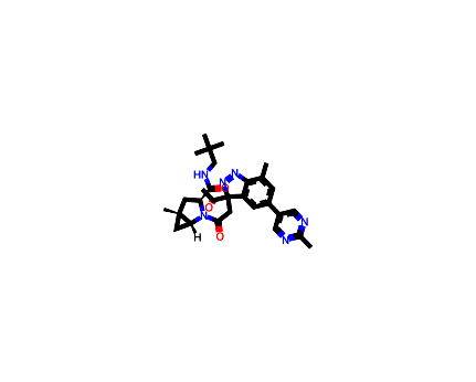 CC(=O)C1(CC(=O)N2[C@H](C(=O)NCC(C)(C)C)C[C@@]3(C)C[C@@H]23)N=Nc2c(C)cc(-c3cnc(C)nc3)cc21